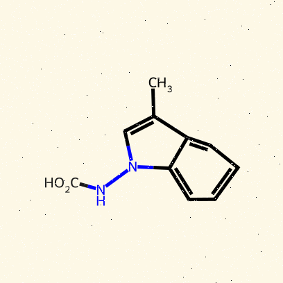 Cc1cn(NC(=O)O)c2ccccc12